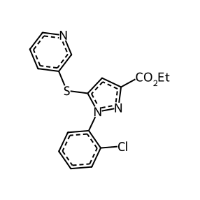 CCOC(=O)c1cc(Sc2cccnc2)n(-c2ccccc2Cl)n1